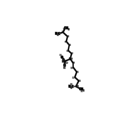 CC(C)CCCCCN(CCCCCC(C)C)[SH](=O)=O